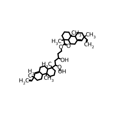 C=CC1(C)C=C2CCC3C(C)(C(=O)OCCC(O)CC(OO)C4(C)CCCC5(C)C6CCC(C)(C=C)C=C6CCC45)CCCC3(C)C2CC1